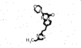 CCc1csc(CCc2ccn3c(=O)cc(N4CCOCC4)nc3c2)n1